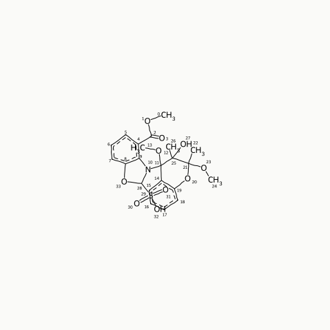 COC(=O)c1cccc2c1N(C1(OC)c3ccccc3OC(C)(OC)C1(C)O)C(S(=O)(=O)O)O2